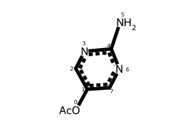 CC(=O)Oc1cnc(N)nc1